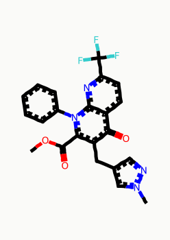 COC(=O)c1c(Cc2cnn(C)c2)c(=O)c2ccc(C(F)(F)F)nc2n1-c1ccccc1